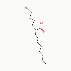 CCCCCCCCC(CCCCBr)C(=O)O